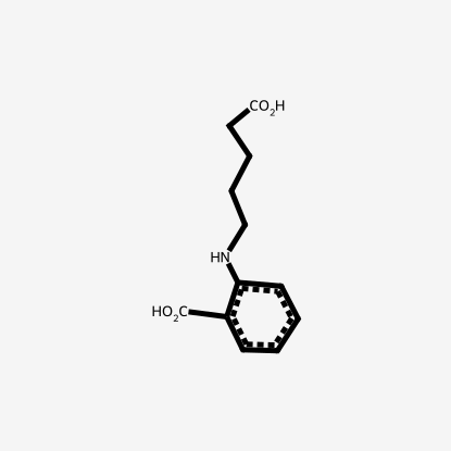 O=C(O)CCCCNc1ccccc1C(=O)O